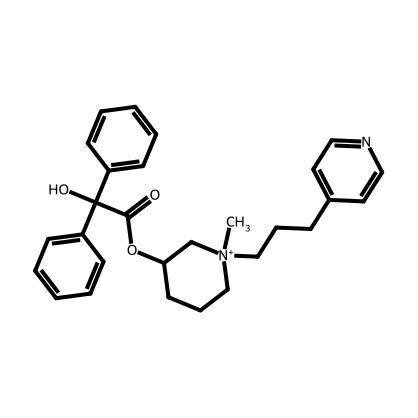 C[N+]1(CCCc2ccncc2)CCCC(OC(=O)C(O)(c2ccccc2)c2ccccc2)C1